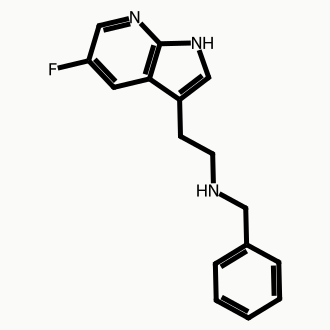 Fc1cnc2[nH]cc(CCNCc3ccccc3)c2c1